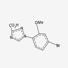 COc1cc(Br)ccc1-n1cnc(C(=O)O)n1